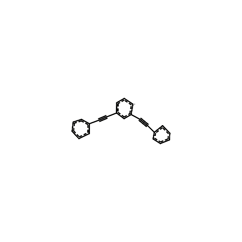 C(#Cc1ccccc1)c1[c]ccc(C#Cc2ccccc2)c1